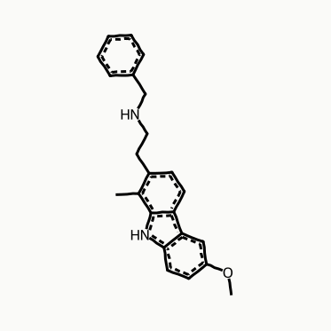 COc1ccc2[nH]c3c(C)c(CCNCc4ccccc4)ccc3c2c1